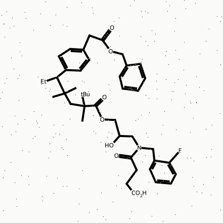 CCC(c1ccc(CC(=O)OCc2ccccc2)cc1)C(C)(C)CC(C)(C(=O)OCC(O)CN(Cc1ccccc1F)C(=O)CCC(=O)O)C(C)(C)C